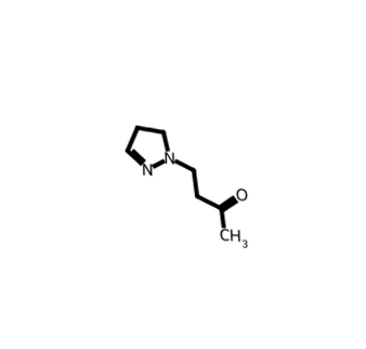 CC(=O)CCN1CCC=N1